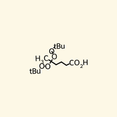 CC(C)(C)OOC(C)(CCCC(=O)O)OOC(C)(C)C